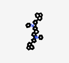 C1=CC2C3=C(C=CC2c2ccc4c(c2)c2cc5c(cc2n4-c2ccccc2)-c2ccc4c6cc(-c7ccc8c9c(cccc79)CC8)ccc6n(-c6ccccc6)c4c2CC5)CCC3=C1